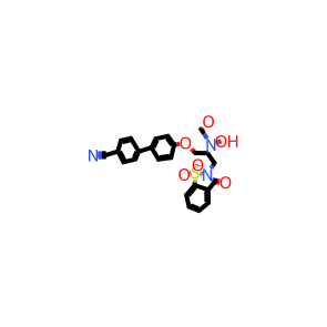 N#Cc1ccc(-c2ccc(OCC(CN3C(=O)c4ccccc4S3(=O)=O)N(O)C=O)cc2)cc1